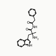 CC(N)(Cc1c[nH]c2ccccc12)C(=O)NC(=O)Cc1ccccc1